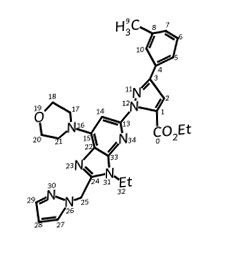 CCOC(=O)c1cc(-c2cccc(C)c2)nn1-c1cc(N2CCOCC2)c2nc(Cn3cccn3)n(CC)c2n1